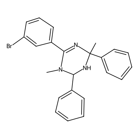 CN1C(c2cccc(Br)c2)=NC(C)(c2ccccc2)NC1c1ccccc1